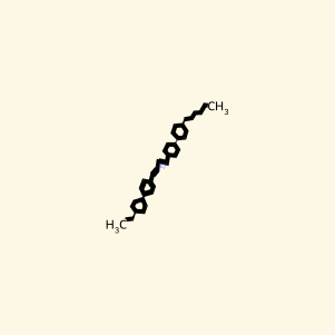 CCCCCC[C@H]1CC[C@H](C2CCC(/C=C/C#Cc3ccc([C@H]4CC[C@H](CCC)CC4)cc3)CC2)CC1